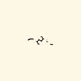 CCOCOC1COC2C(OCC3CO3)COC12